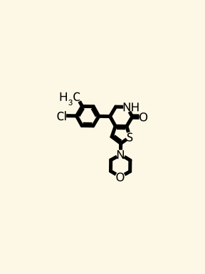 Cc1cc(C2CNC(=O)c3sc(N4CCOCC4)cc32)ccc1Cl